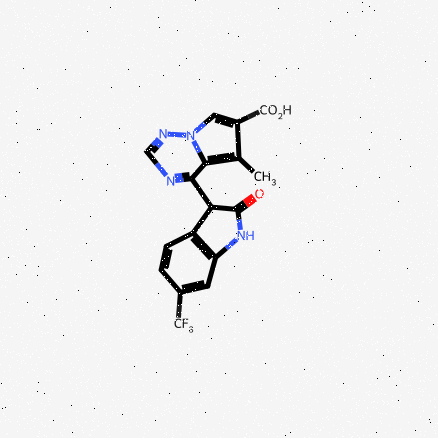 Cc1c(C(=O)O)cn2ncnc(C3C(=O)Nc4cc(C(F)(F)F)ccc43)c12